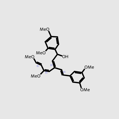 CO/C=C/C(=C\C(\C=C\c1cc(OC)cc(OC)c1)=C\C(O)c1ccc(OC)cc1OC)OC